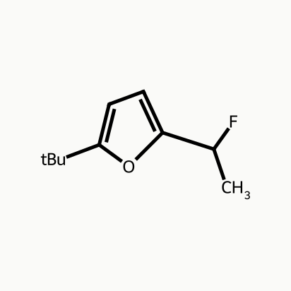 CC(F)c1ccc(C(C)(C)C)o1